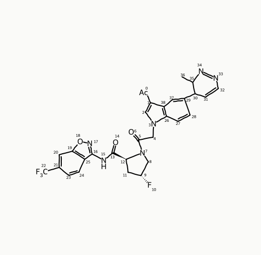 CC(=O)c1cn(CC(=O)N2C[C@H](F)C[C@H]2C(=O)Nc2noc3cc(C(F)(F)F)ccc23)c2ccc(C3C=CN=NC3C)cc12